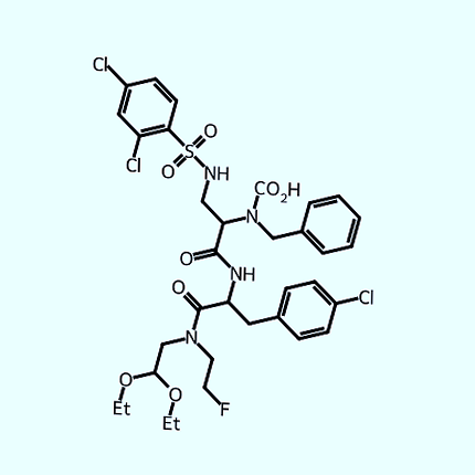 CCOC(CN(CCF)C(=O)C(Cc1ccc(Cl)cc1)NC(=O)C(CNS(=O)(=O)c1ccc(Cl)cc1Cl)N(Cc1ccccc1)C(=O)O)OCC